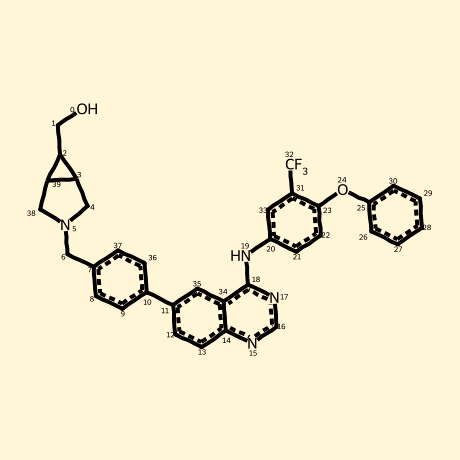 OCC1C2CN(Cc3ccc(-c4ccc5ncnc(Nc6ccc(Oc7ccccc7)c(C(F)(F)F)c6)c5c4)cc3)CC12